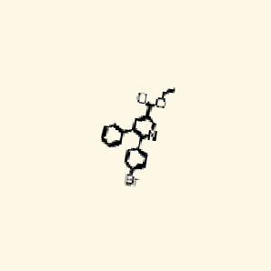 CCOC(=O)c1cnc(-c2ccc(Br)cc2)c(-c2ccccc2)c1